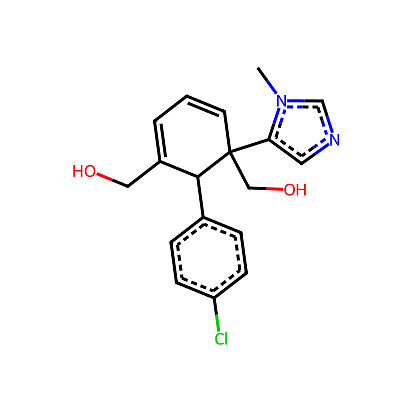 Cn1cncc1C1(CO)C=CC=C(CO)C1c1ccc(Cl)cc1